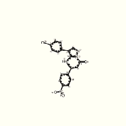 O=c1cc(-c2ccc([N+](=O)[O-])cc2)[nH]c2c(-c3ccc(Cl)cc3)cnn12